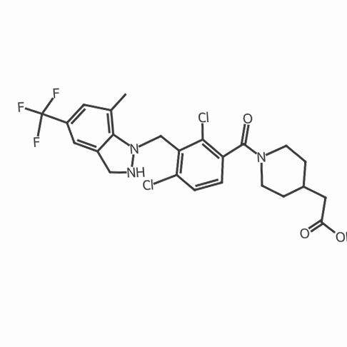 Cc1cc(C(F)(F)F)cc2c1N(Cc1c(Cl)ccc(C(=O)N3CCC(CC(=O)O)CC3)c1Cl)NC2